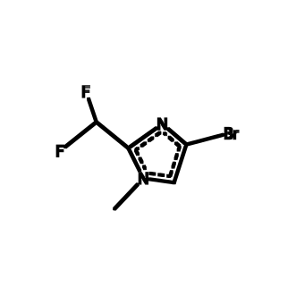 Cn1cc(Br)nc1C(F)F